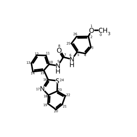 COc1ccc(NC(=O)Nc2ccccc2-c2nc3ccccc3s2)cc1